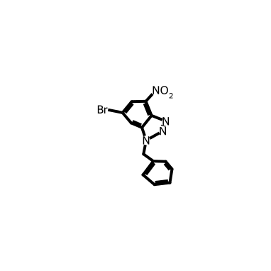 O=[N+]([O-])c1cc(Br)cc2c1nnn2Cc1ccccc1